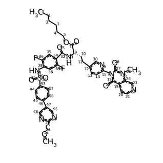 CCCCCCOC(=O)[C@H](CCc1ccc(-n2c(=O)c3ccncc3n(C)c2=O)nc1)NC(=O)c1cc(F)c(NS(=O)(=O)c2ccc(-c3cnc(COC)nc3)cc2)cc1F